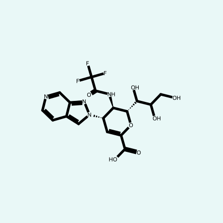 O=C(O)C1=C[C@H](n2cc3ccncc3n2)[C@@H](NC(=O)C(F)(F)F)[C@H](C(O)C(O)CO)O1